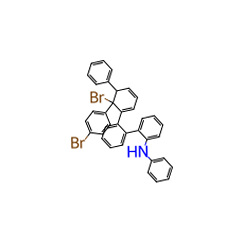 Brc1ccc(C2(Br)C(c3ccccc3-c3ccccc3Nc3ccccc3)=CC=CC2c2ccccc2)cc1